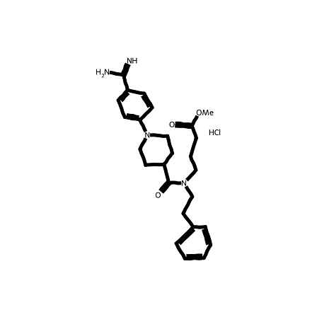 COC(=O)CCCN(CCc1ccccc1)C(=O)C1CCN(c2ccc(C(=N)N)cc2)CC1.Cl